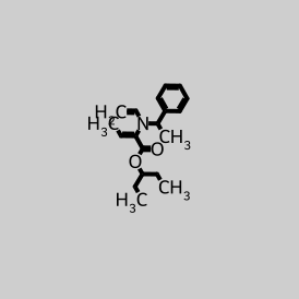 C=CN(/C(=C\C)C(=O)OC(CC)CC)C(C)c1ccccc1